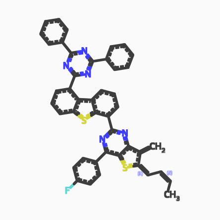 C=c1/c(=C\C=C/C)sc2c(-c3ccc(F)cc3)nc(-c3cccc4c3sc3cccc(-c5nc(-c6ccccc6)nc(-c6ccccc6)n5)c34)nc12